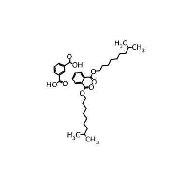 CC(C)CCCCCCCOC(=O)c1ccccc1C(=O)OCCCCCCCC(C)C.O=C(O)c1cccc(C(=O)O)c1